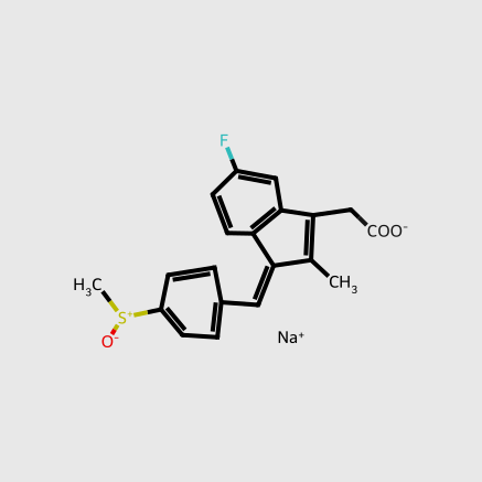 CC1=C(CC(=O)[O-])c2cc(F)ccc2C1=Cc1ccc([S+](C)[O-])cc1.[Na+]